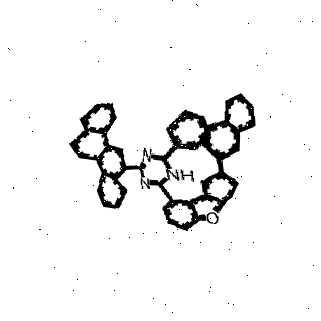 c1ccc(C2N=C(c3cc4c5ccccc5ccc4c4ccccc34)N=C(c3cccc4oc5ccc(-c6ccc7ccccc7c6)cc5c34)N2)cc1